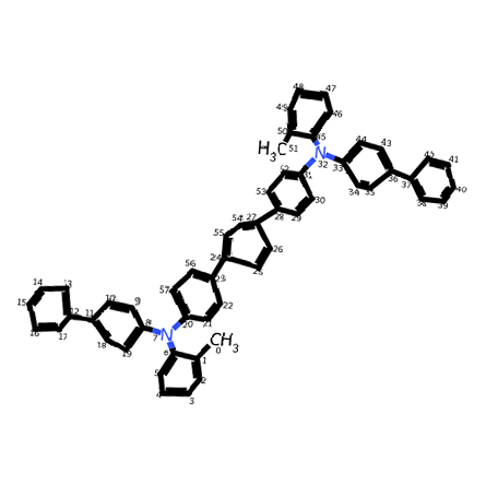 Cc1ccccc1N(c1ccc(-c2ccccc2)cc1)c1ccc(-c2ccc(-c3ccc(N(c4ccc(-c5ccccc5)cc4)c4ccccc4C)cc3)cc2)cc1